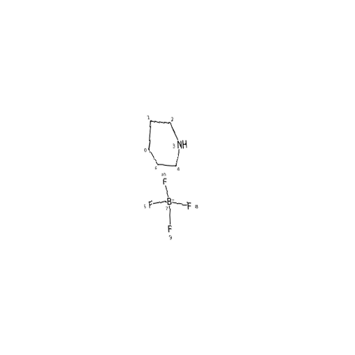 C1CCNCC1.F[B-](F)(F)F